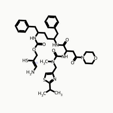 CC(C)c1nc(CN(C)C(=O)NC(CC(=O)N2CCOCC2)C(=O)NC(CCC(Cc2ccccc2)NC(=O)OC/C(S)=C/N)Cc2ccccc2)cs1